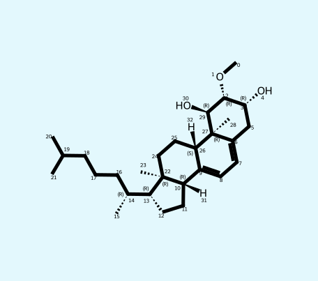 CO[C@@H]1[C@H](O)CC2=CC=C3[C@@H]4CC[C@H]([C@H](C)CCCC(C)C)[C@@]4(C)CC[C@@H]3[C@@]2(C)[C@H]1O